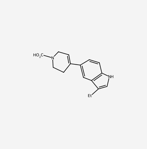 CCc1c[nH]c2ccc(C3=CCN(C(=O)O)CC3)cc12